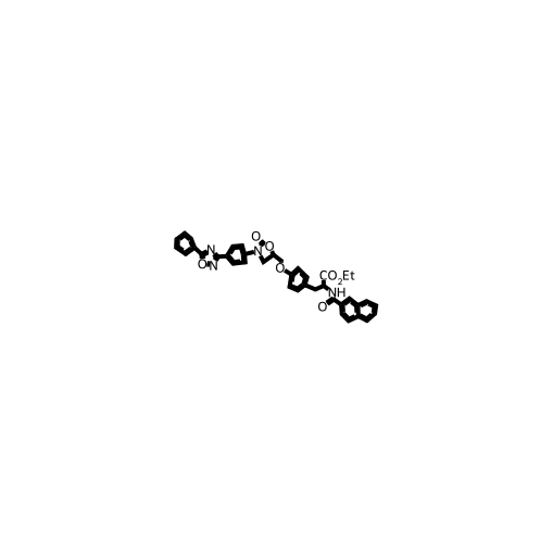 CCOC(=O)C(Cc1ccc(OCC2CN(c3ccc(-c4noc(-c5ccccc5)n4)cc3)C(=O)O2)cc1)NC(=O)c1ccc2ccccc2c1